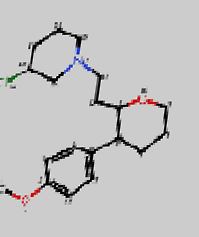 COc1ccc(C2CCCOC2CCN2CCC[C@H](Cl)C2)cc1